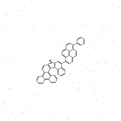 c1ccc(-c2ccc3ccc4c(-c5cc6sc7ccc8c9ccccc9c9ccccc9c8c7c6c6ccccc56)ccc5ccc2c3c54)cc1